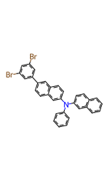 Brc1cc(Br)cc(-c2ccc3cc(N(c4ccccc4)c4ccc5ccccc5c4)ccc3c2)c1